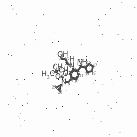 CC(C)(C)OC(=O)N(Cc1ccc(C(=N)C2CCCC2)c(NCCCO)c1)C1CC1